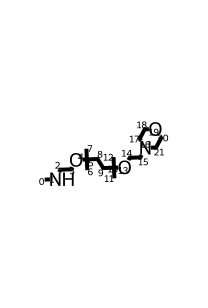 CNCCOC(C)(C)CCC(C)(C)OCCN1CCOCC1